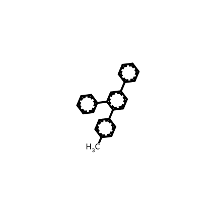 Cc1ccc(-c2ccc(-c3ccccc3)cc2-c2ccccc2)cc1